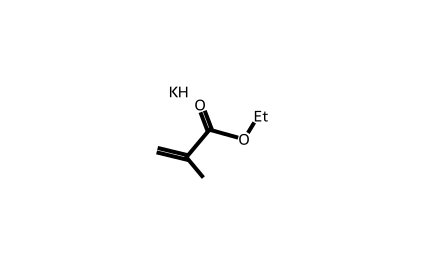 C=C(C)C(=O)OCC.[KH]